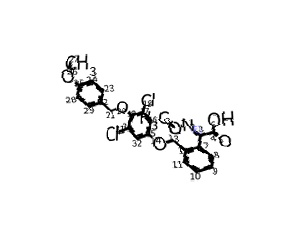 CO/N=C(/C(=O)O)c1ccccc1COc1cc(Cl)c(OCc2ccc(OC)cc2)c(Cl)c1